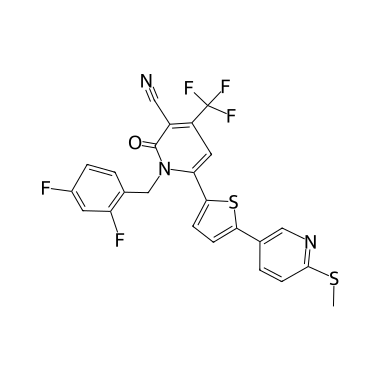 CSc1ccc(-c2ccc(-c3cc(C(F)(F)F)c(C#N)c(=O)n3Cc3ccc(F)cc3F)s2)cn1